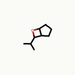 CC(C)C1OC2CCCC21